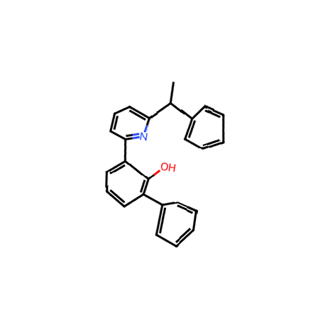 CC(c1ccccc1)c1cccc(-c2cccc(-c3ccccc3)c2O)n1